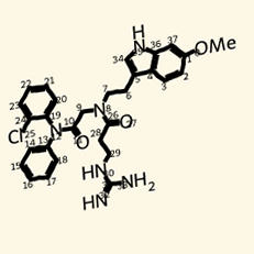 COc1ccc2c(CCN(CC(=O)N(c3ccccc3)c3ccccc3Cl)C(=O)CCNC(=N)N)c[nH]c2c1